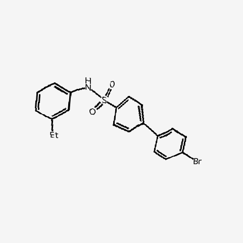 CCc1cccc(NS(=O)(=O)c2ccc(-c3ccc(Br)cc3)cc2)c1